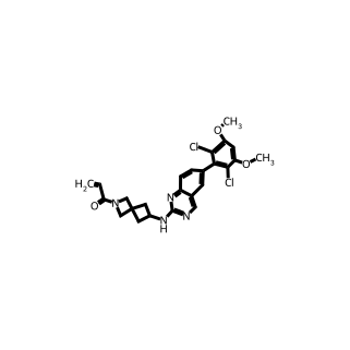 C=CC(=O)N1CC2(CC(Nc3ncc4cc(-c5c(Cl)c(OC)cc(OC)c5Cl)ccc4n3)C2)C1